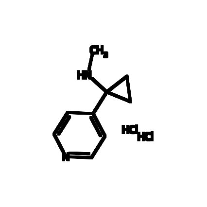 CNC1(c2ccncc2)CC1.Cl.Cl